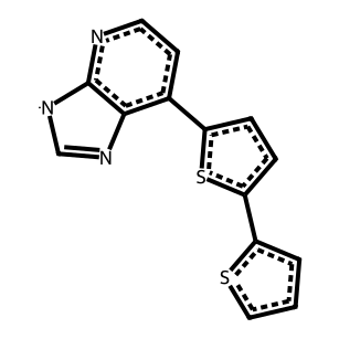 C1=Nc2c(-c3ccc(-c4cccs4)s3)ccnc2[N]1